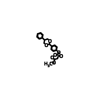 COC(=O)CS(=O)(=O)Oc1ccc(C2OCC(c3ccccc3)CO2)cc1